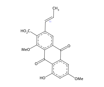 C/C=C/c1cc2c(c(OC)c1C(=O)O)C(=O)c1c(O)cc(OC)cc1C2=O